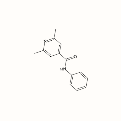 Cc1cc(C(=O)Nc2ccccc2)cc(C)n1